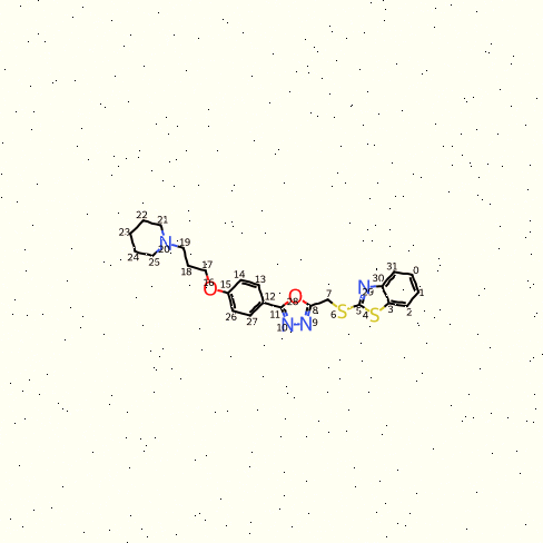 c1ccc2sc(SCc3nnc(-c4ccc(OCCCN5CCCCC5)cc4)o3)nc2c1